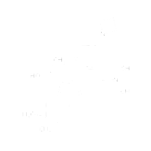 C=C(O)c1c(-c2ccc(N3CCC3)cc2CN(C)S)sc2c1CC(C)(C)CC2